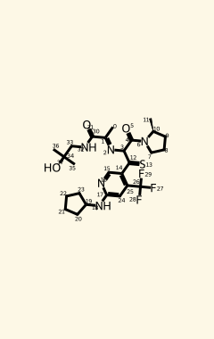 C/C(=N\C(C(=O)N1CCC[C@@H]1C)C(=S)c1cnc(NC2CCCC2)cc1C(F)(F)F)C(=O)NCC(C)(C)O